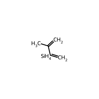 C=CC(=C)C.[SiH4]